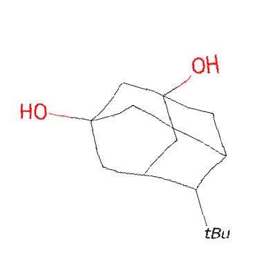 CC(C)(C)C1C2CC3(O)CC1CC(O)(C2)C3